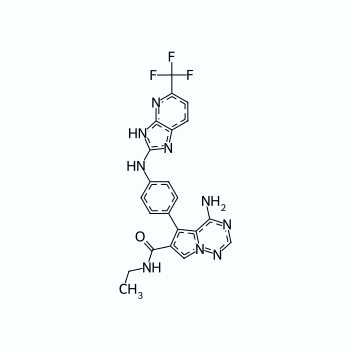 CCNC(=O)c1cn2ncnc(N)c2c1-c1ccc(Nc2nc3ccc(C(F)(F)F)nc3[nH]2)cc1